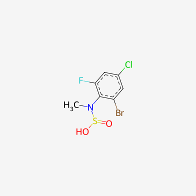 CN(c1c(F)cc(Cl)cc1Br)S(=O)O